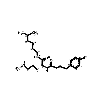 CNCCC[C@@H](NC(=O)CCCc1ccc(I)cc1)C(=O)NCCCCC(C)C